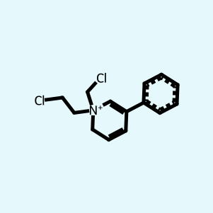 ClCC[N+]1(CCl)C=C(c2ccccc2)C=CC1